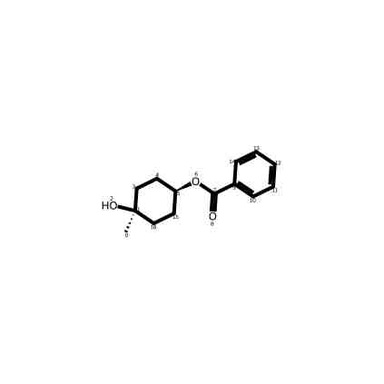 C[C@]1(O)CC[C@@H](OC(=O)c2ccccc2)CC1